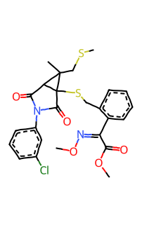 CON=C(C(=O)OC)c1ccccc1CSC12C(=O)N(c3cccc(Cl)c3)C(=O)C1C2(C)CSC